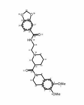 COc1cc2c(cc1OC)CN(C(=O)C1CCCN(CCNC(=O)c3ccc4c(c3)OCO4)C1)CC2